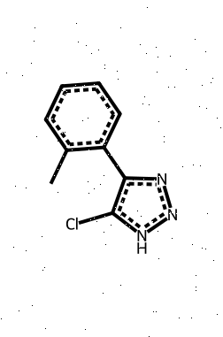 Cc1ccccc1-c1nn[nH]c1Cl